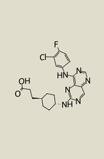 O=C(O)CC[C@H]1CC[C@H](Nc2ncc3ncnc(Nc4ccc(F)c(Cl)c4)c3n2)CC1